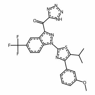 COc1cccc(-c2nc(-n3nc(C(=O)c4nnn[nH]4)c4cc(C(F)(F)F)ccc43)sc2C(C)C)c1